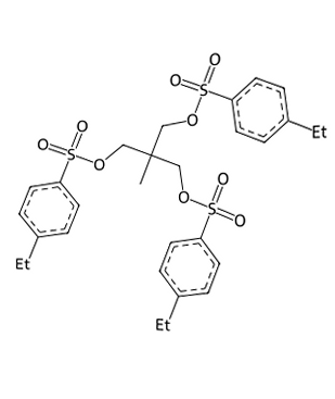 CCc1ccc(S(=O)(=O)OCC(C)(COS(=O)(=O)c2ccc(CC)cc2)COS(=O)(=O)c2ccc(CC)cc2)cc1